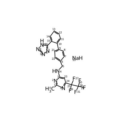 Cc1nc(NCc2ccc(-c3ccccc3-c3nnn[nH]3)cc2)cc(C(F)(F)C(F)(F)F)n1.[NaH]